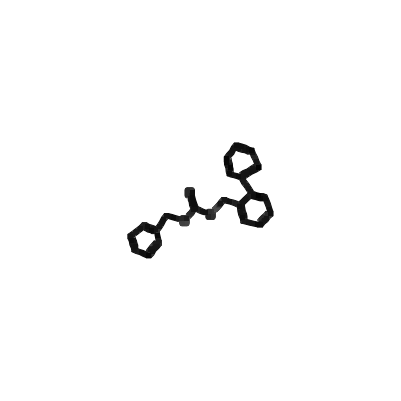 O=C(OCc1ccccc1)OCc1ccccc1-c1ccccc1